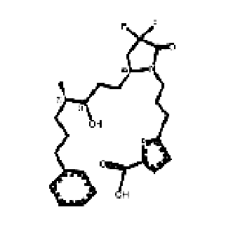 C[C@H](CCCc1ccccc1)[C@H](O)CC[C@H]1CC(F)(F)C(=O)N1CCCc1ccc(C(=O)O)s1